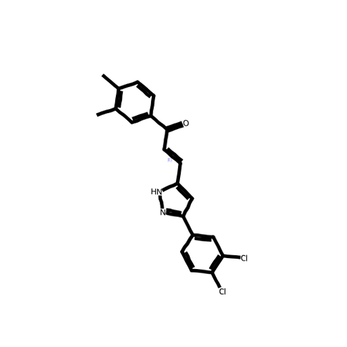 Cc1ccc(C(=O)/C=C/c2cc(-c3ccc(Cl)c(Cl)c3)n[nH]2)cc1C